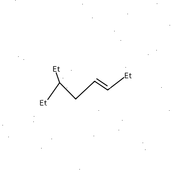 CCC=CCC(CC)CC